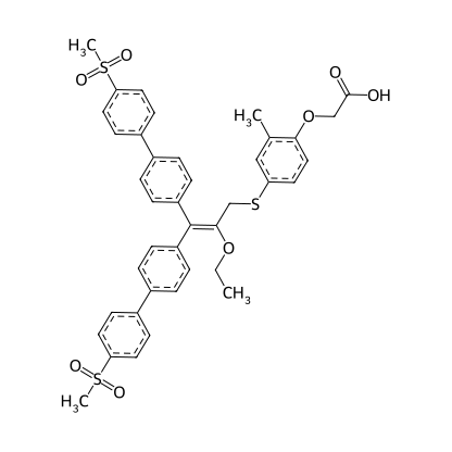 CCOC(CSc1ccc(OCC(=O)O)c(C)c1)=C(c1ccc(-c2ccc(S(C)(=O)=O)cc2)cc1)c1ccc(-c2ccc(S(C)(=O)=O)cc2)cc1